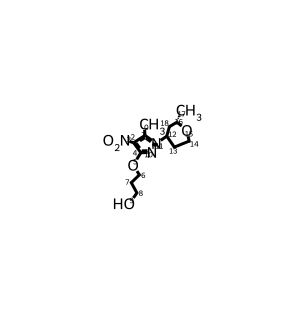 Cc1c([N+](=O)[O-])c(OCCCO)nn1C1CCO[C@@H](C)C1